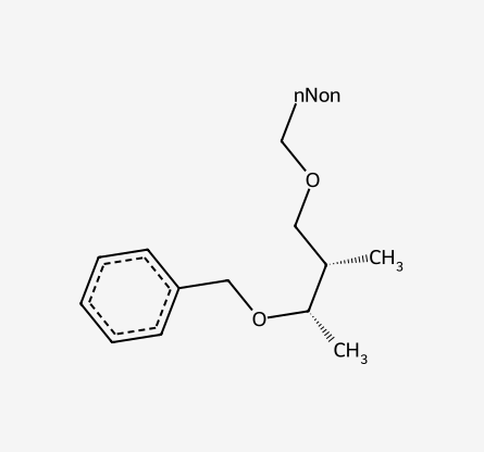 CCCCCCCCCCOC[C@H](C)[C@H](C)OCc1ccccc1